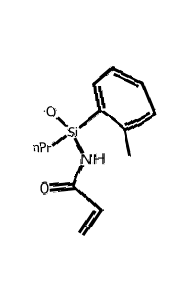 C=CC(=O)N[Si]([O])(CCC)c1ccccc1C